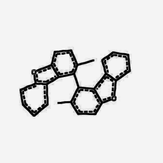 Cc1ccc2oc3ccccc3c2c1-c1c(C)ccc2oc3ccccc3c12